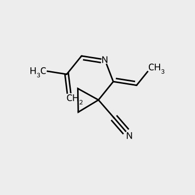 C=C(C)/C=N\C(=C/C)C1(C#N)CC1